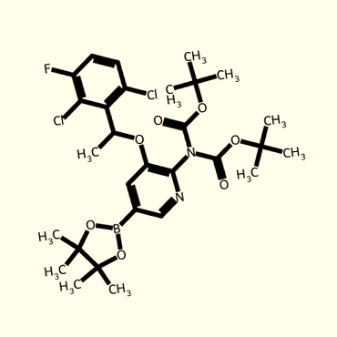 CC(Oc1cc(B2OC(C)(C)C(C)(C)O2)cnc1N(C(=O)OC(C)(C)C)C(=O)OC(C)(C)C)c1c(Cl)ccc(F)c1Cl